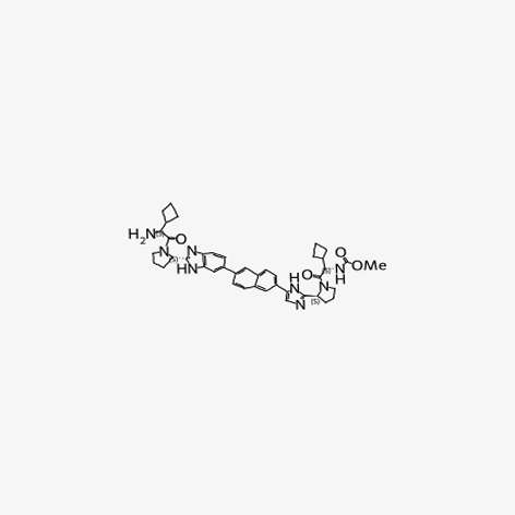 COC(=O)N[C@H](C(=O)N1CCC[C@H]1c1ncc(-c2ccc3cc(-c4ccc5nc([C@@H]6CCCN6C(=O)[C@@H](N)C6CCC6)[nH]c5c4)ccc3c2)[nH]1)C1CCC1